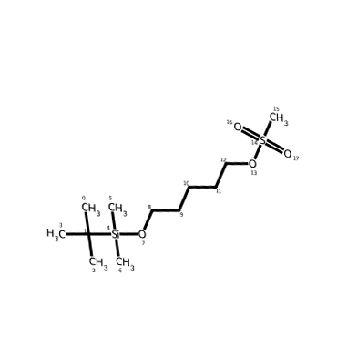 CC(C)(C)[Si](C)(C)OCCCCCOS(C)(=O)=O